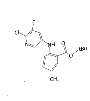 Cc1ccc(Nc2cnc(Cl)c(F)c2)c(C(=O)OC(C)(C)C)c1